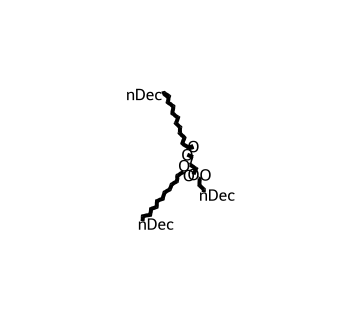 CCCCCCCCCC/C=C\CCCCCCCCCC(=O)OC[C@@H](COC(=O)CCCCCCCCCCCC)OC(=O)CCCCCCCCCCCCCCCCCCCCC